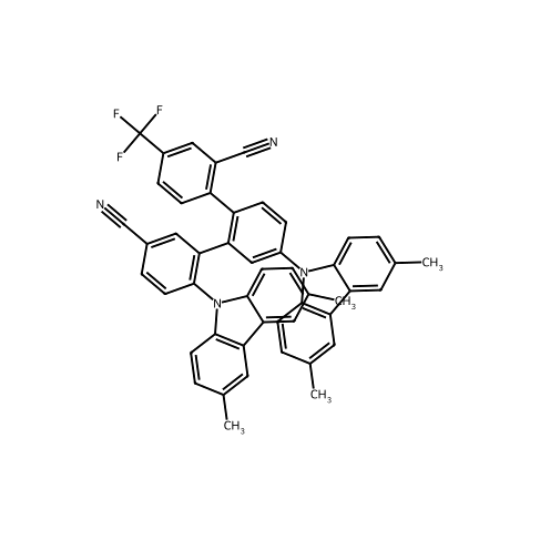 Cc1ccc2c(c1)c1cc(C)ccc1n2-c1ccc(-c2ccc(C(F)(F)F)cc2C#N)c(-c2cc(C#N)ccc2-n2c3ccc(C)cc3c3cc(C)ccc32)c1